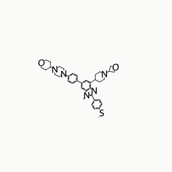 CSc1ccc(-c2nc3c(C4CCN(C5COC5)CC4)cc(-c4ccc(N5CCN(C6CCOCC6)CC5)cc4)cc3n2C)cc1